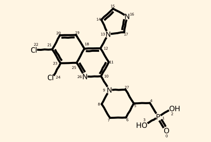 O=P(O)(O)CC1CCCN(c2cc(-n3ccnc3)c3ccc(Cl)c(Cl)c3n2)C1